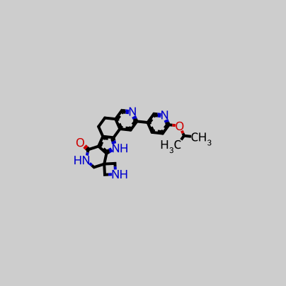 CC(C)Oc1ccc(-c2cc3c(cn2)CCc2c-3[nH]c3c2C(=O)NCC32CNC2)cn1